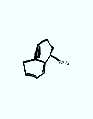 NC1CCC=C2CC=CC=C21